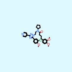 COc1ccc(-c2nc(-c3ccncc3)nn2CCN(C(=O)CCCc2ccc(OC)c(OC)c2)C2CCCC2)cc1Cl